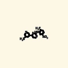 Bc1cncc(-c2ccnc(Nc3cc([N+](=O)[O-])ccc3C)n2)c1